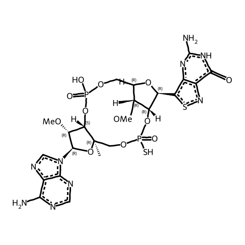 CO[C@H]1[C@H]2OP(=O)(S)OC[C@@]3(C)O[C@@H](n4cnc5c(N)ncnc54)[C@H](OC)[C@@H]3OP(=O)(O)OC[C@H]1O[C@H]2c1snc2c(=O)[nH]c(N)nc12